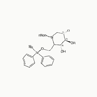 CCCCCCCCCN1C[C@H](Cl)[C@@H](O)[C@H](O)C1CO[Si](c1ccccc1)(c1ccccc1)C(C)(C)C